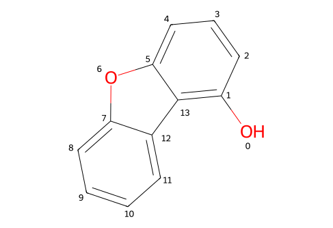 Oc1cccc2oc3ccccc3c12